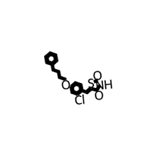 O=C1NC(=O)/C(=C/c2ccc(OCCCCc3ccccc3)cc2Cl)S1